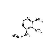 CCCCCNc1ccnc(N)c1[N+](=O)[O-]